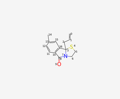 C=CCC12SCCN1C(=O)c1ccc(C)cc12